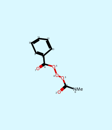 CNC(=O)OOOC(=O)c1ccccc1